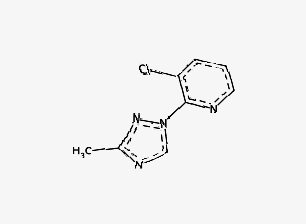 Cc1ncn(-c2ncccc2Cl)n1